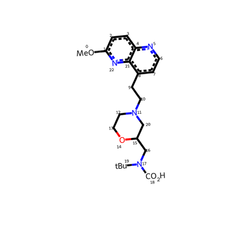 COc1ccc2nccc(CCN3CCOC(CN(C(=O)O)C(C)(C)C)C3)c2n1